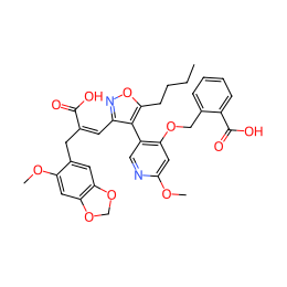 CCCCc1onc(C=C(Cc2cc3c(cc2OC)OCO3)C(=O)O)c1-c1cnc(OC)cc1OCc1ccccc1C(=O)O